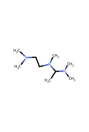 CC(N(C)C)N(C)CCN(C)C